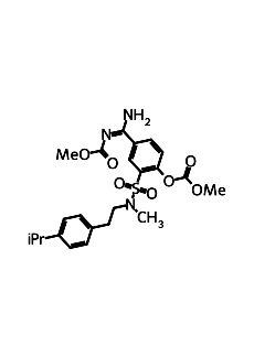 COC(=O)/N=C(/N)c1ccc(OC(=O)OC)c(S(=O)(=O)N(C)CCc2ccc(C(C)C)cc2)c1